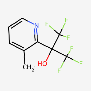 [CH2]c1cccnc1C(O)(C(F)(F)F)C(F)(F)F